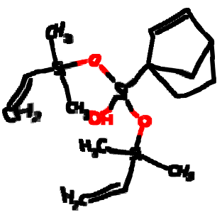 C=C[Si](C)(C)O[Si](O)(O[Si](C)(C)C=C)C12C=CC(CC1)C2